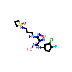 O=S1(=NCCCNc2nonc2/C(=N/O)Nc2ccc(F)c(Cl)c2)CCC1